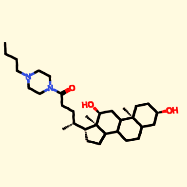 CCCCN1CCN(C(=O)CC[C@@H](C)[C@H]2CCC3C4CCC5C[C@H](O)CC[C@]5(C)C4C[C@H](O)[C@@]32C)CC1